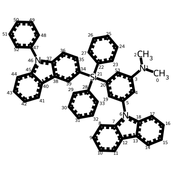 CN(C)c1cc(-n2c3ccccc3c3ccccc32)cc([Si](c2ccccc2)(c2ccccc2)c2ccc3c(c2)c2ccccc2n3-c2ccccc2)c1